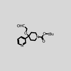 CC(C)(C)OC(=O)N1CCC(OCC=O)(c2cccnc2)CC1